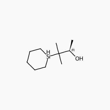 C[C@@H](O)C(C)(C)[SiH]1CCCCC1